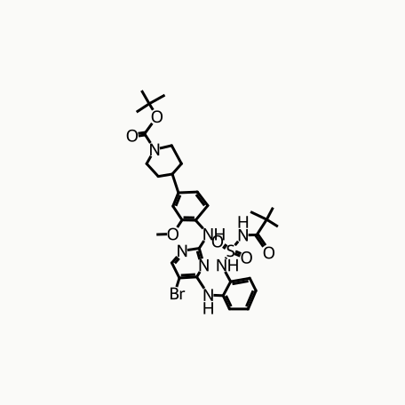 COc1cc(C2CCN(C(=O)OC(C)(C)C)CC2)ccc1Nc1ncc(Br)c(Nc2ccccc2NS(=O)(=O)NC(=O)C(C)(C)C)n1